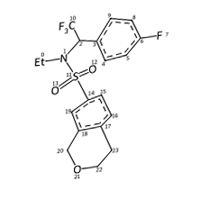 CCN(C(c1ccc(F)cc1)C(F)(F)F)S(=O)(=O)c1ccc2c(c1)COCC2